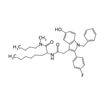 CCCCCCC(NC(=O)Cc1c(-c2ccc(F)cc2)n(Cc2ccccc2)c2ccc(O)cc12)C(=O)N(C)CCCC